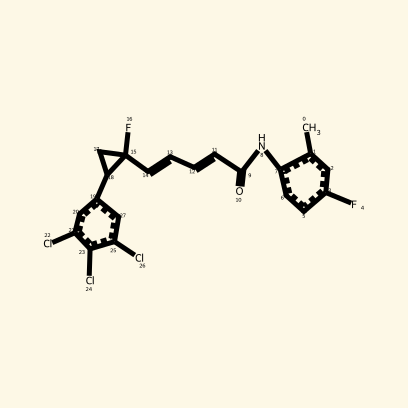 Cc1cc(F)ccc1NC(=O)/C=C/C=C/C1(F)CC1c1cc(Cl)c(Cl)c(Cl)c1